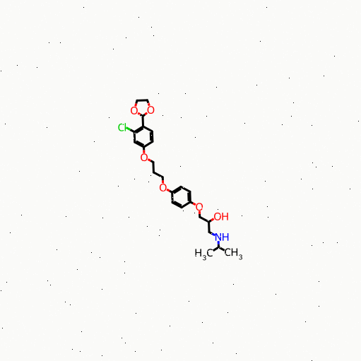 CC(C)NCC(O)COc1ccc(OCCCOc2ccc(C3OCCO3)c(Cl)c2)cc1